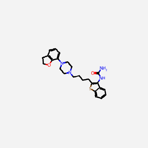 NC(=O)Nc1c(CCCCN2CCN(c3cccc4c3OCC4)CC2)sc2ccccc12